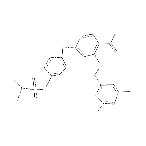 CC(C)S(=O)(=O)Nc1ccc(Nc2cc(NCc3cc(F)cc(F)c3)c(C(N)=O)cn2)cc1